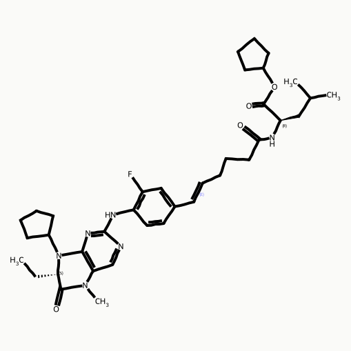 CC[C@H]1C(=O)N(C)c2cnc(Nc3ccc(/C=C/CCCC(=O)N[C@H](CC(C)C)C(=O)OC4CCCC4)cc3F)nc2N1C1CCCC1